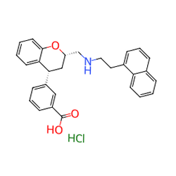 Cl.O=C(O)c1cccc([C@H]2C[C@@H](CNCCc3cccc4ccccc34)Oc3ccccc32)c1